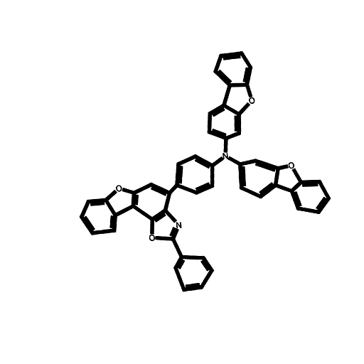 c1ccc(-c2nc3c(-c4ccc(N(c5ccc6c(c5)oc5ccccc56)c5ccc6c(c5)oc5ccccc56)cc4)cc4oc5ccccc5c4c3o2)cc1